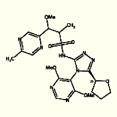 COc1ncnc(OC)c1-n1c(NS(=O)(=O)C(C)C(OC)c2cnc(C)cn2)nnc1[C@@H]1CCCO1